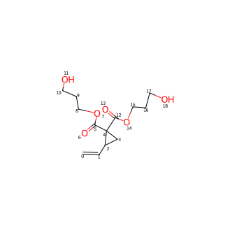 C=CC1CC1(C(=O)OCCCO)C(=O)OCCCO